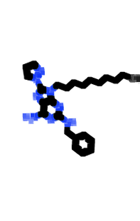 CCCCCCCCCCn1c(-n2cccn2)nc2c(N)nc(NCc3ccccc3)nc21